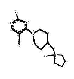 [O-][N+]1(CC2CCN(c3nc(Cl)ncc3Br)CC2)CCCC1